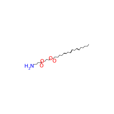 CCCCCC=CCC=CCC=CCCCCC(=O)OCCCOC(=O)CCCN